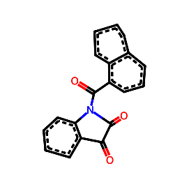 O=C1C(=O)N(C(=O)c2cccc3ccccc23)c2ccccc21